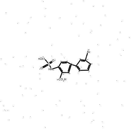 CCCCCCCCS(=O)(=O)Nc1ccc(-c2cccc(C(C)=O)c2)cc1C(=O)O